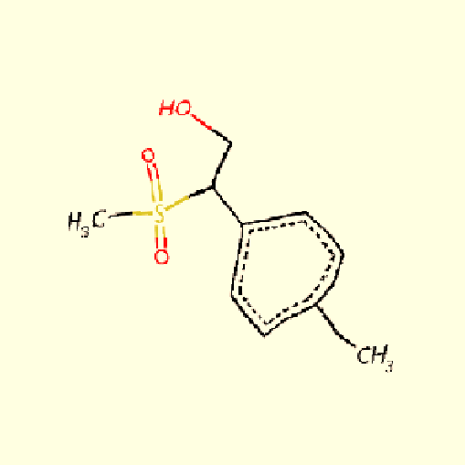 Cc1ccc(C(CO)S(C)(=O)=O)cc1